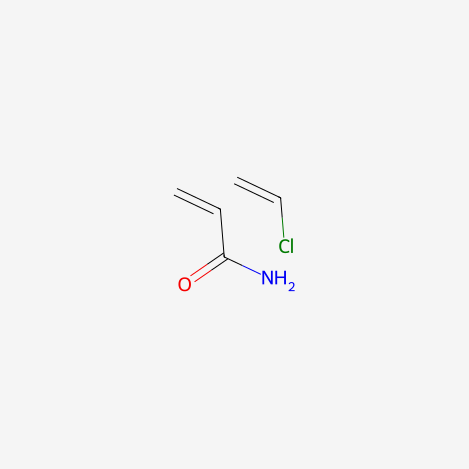 C=CC(N)=O.C=CCl